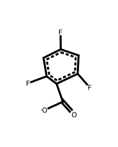 [O]C(=O)c1c(F)cc(F)cc1F